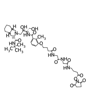 Cc1c(OCCCC(=O)NCC(=O)NCC(=O)NCCCC(=O)ON2C(=O)CCC2=O)cccc1C(=O)N[C@@H](CO)[C@H](O)CN1C[C@H]2CCCC[C@H]2C[C@H]1C(=O)NC(C)(C)C